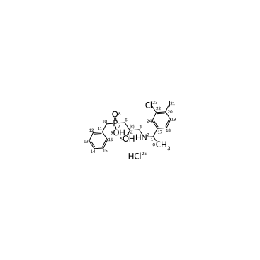 CC(NC[C@@H](O)CP(=O)(O)Cc1ccccc1)c1ccc(I)c(Cl)c1.Cl